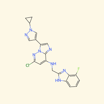 Fc1cccc2[nH]c(CNc3cc(Cl)nn4c(-c5cnn(C6CC6)c5)cnc34)nc12